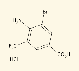 Cl.Nc1c(Br)cc(C(=O)O)cc1C(F)(F)F